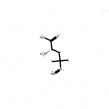 CC(C)(C[C@H](N)C(=O)O)N=N